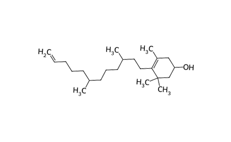 C=CCCCC(C)CCCC(C)CCC1=C(C)CC(O)CC1(C)C